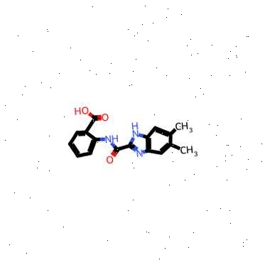 Cc1cc2nc(C(=O)Nc3ccccc3C(=O)O)[nH]c2cc1C